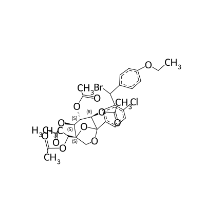 CCOc1ccc(C(Br)c2cc(C34OC[C@@](C(C)OC(C)=O)(O3)[C@@H](OC(C)=O)[C@H](OC(C)=O)[C@H]4OC(C)=O)ccc2Cl)cc1